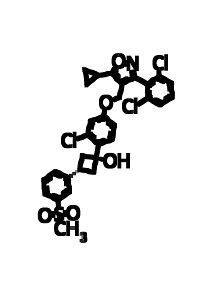 CS(=O)(=O)c1cccc([C@H]2C[C@@](O)(c3ccc(OCc4c(-c5c(Cl)cccc5Cl)noc4C4CC4)cc3Cl)C2)c1